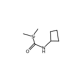 C[Si](C)C(=O)NC1CCC1